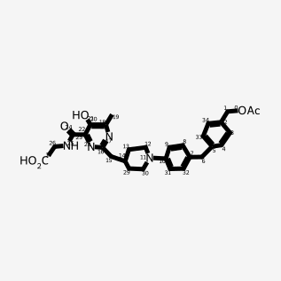 CC(=O)OCc1ccc(Cc2ccc(N3CCC(Cc4nc(C)c(O)c(C(=O)NCC(=O)O)n4)CC3)cc2)cc1